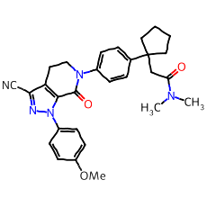 COc1ccc(-n2nc(C#N)c3c2C(=O)N(c2ccc(C4(CC(=O)N(C)C)CCCC4)cc2)CC3)cc1